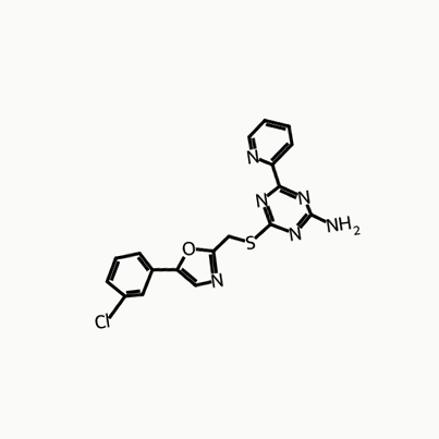 Nc1nc(SCc2ncc(-c3cccc(Cl)c3)o2)nc(-c2ccccn2)n1